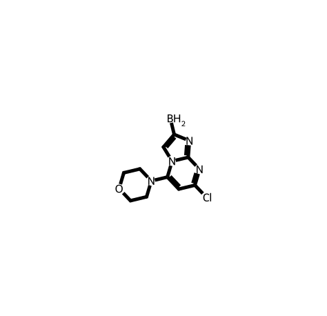 Bc1cn2c(N3CCOCC3)cc(Cl)nc2n1